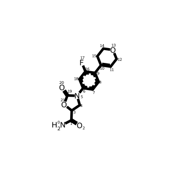 NC(=O)C1CN(c2ccc(C3=CCOCC3)c(F)c2)C(=O)O1